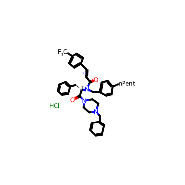 CCCCCc1ccc(CN(C(=O)/C=C/c2ccc(C(F)(F)F)cc2)[C@@H](Cc2ccccc2)C(=O)N2CCN(Cc3ccccc3)CC2)cc1.Cl